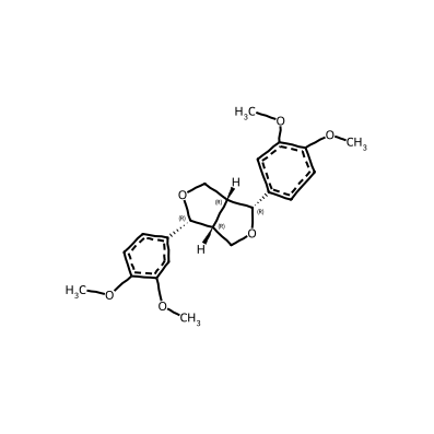 COc1ccc([C@@H]2OC[C@H]3[C@@H]2CO[C@H]3c2ccc(OC)c(OC)c2)cc1OC